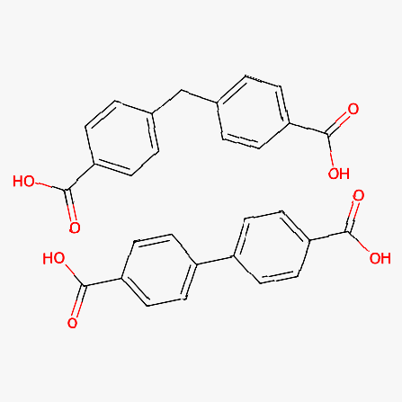 O=C(O)c1ccc(-c2ccc(C(=O)O)cc2)cc1.O=C(O)c1ccc(Cc2ccc(C(=O)O)cc2)cc1